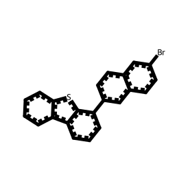 Brc1ccc2cc(-c3cccc4c3sc3ccccc34)ccc2c1